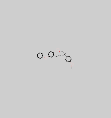 CCOc1ccc(C(C)(CC=O)CCCc2cccc(Oc3ccccc3)c2)cc1